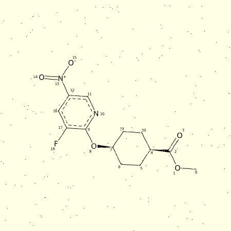 COC(=O)[C@H]1CC[C@@H](Oc2ncc([N+](=O)[O-])cc2F)CC1